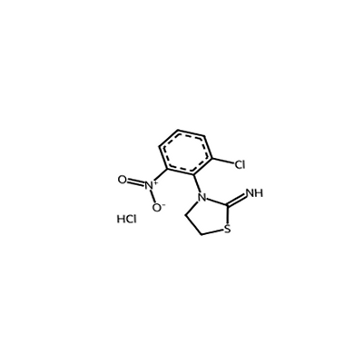 Cl.N=C1SCCN1c1c(Cl)cccc1[N+](=O)[O-]